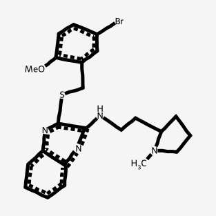 COc1ccc(Br)cc1CSc1nc2ccccc2nc1NCCC1CCCN1C